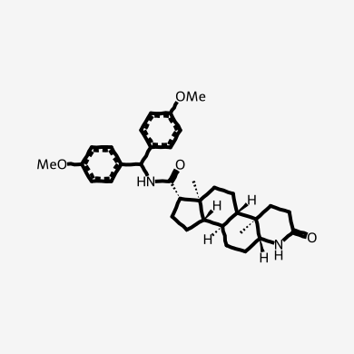 COc1ccc(C(NC(=O)[C@H]2CC[C@H]3[C@@H]4CC[C@H]5NC(=O)CC[C@]5(C)[C@H]4CC[C@]23C)c2ccc(OC)cc2)cc1